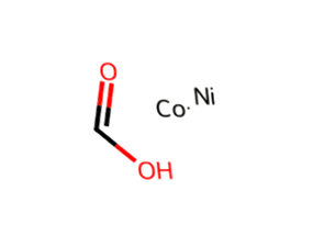 O=CO.[Co].[Ni]